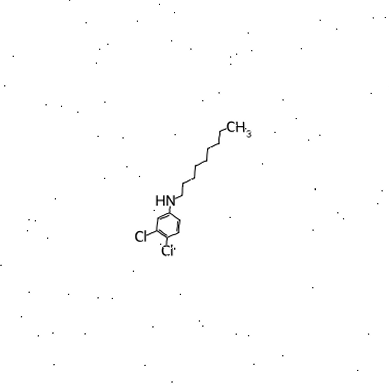 CCCCCCCCCNc1ccc(Cl)c(Cl)c1